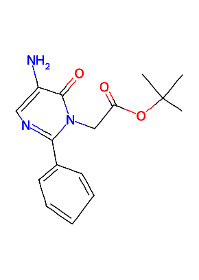 CC(C)(C)OC(=O)Cn1c(-c2ccccc2)ncc(N)c1=O